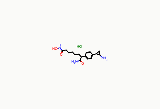 Cl.NC(=O)C(CCCCCC(=O)NO)c1ccc(C2CC2N)cc1